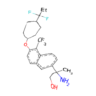 CCC(F)(F)C1CCC(Oc2ccc3cc(C(C)(N)CO)ccc3c2C(F)(F)F)CC1